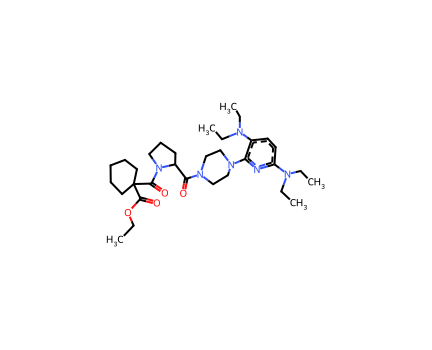 CCOC(=O)C1(C(=O)N2CCCC2C(=O)N2CCN(c3nc(N(CC)CC)ccc3N(CC)CC)CC2)CCCCC1